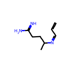 C=C/C=N\C(C)CCC(=N)N